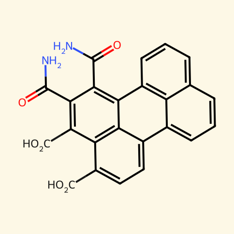 NC(=O)c1c(C(=O)O)c2c(C(=O)O)ccc3c4cccc5cccc(c(c1C(N)=O)c23)c54